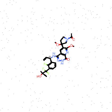 C=C[C@@H](Nc1n[nH]c(=O)c2nc(OC)c(C3(OC)CCN(C(C)=O)C3)cc12)c1cccc(C(F)(F)C(C)(C)O)c1F